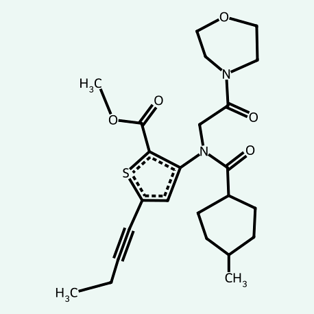 CCC#Cc1cc(N(CC(=O)N2CCOCC2)C(=O)C2CCC(C)CC2)c(C(=O)OC)s1